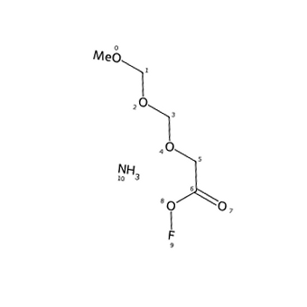 COCOCOCC(=O)OF.N